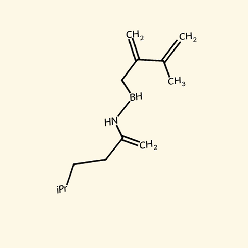 C=C(CCC(C)C)NBCC(=C)C(=C)C